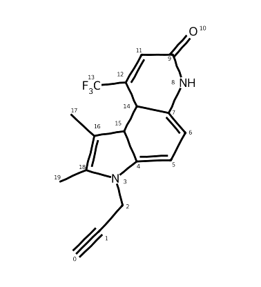 C#CCN1C2=CC=C3NC(=O)C=C(C(F)(F)F)C3C2C(C)=C1C